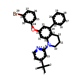 CC(C)(C)c1ccnc(N2CCCc3c(-c4ccccc4)cc(Oc4cccc(Br)c4)cc32)c1